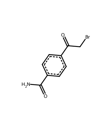 NC(=O)c1ccc(C(=O)CBr)cc1